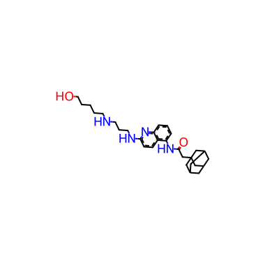 O=C(CC12CC3CC(CC(C3)C1)C2)Nc1cccc2nc(NCCCNCCCCCO)ccc12